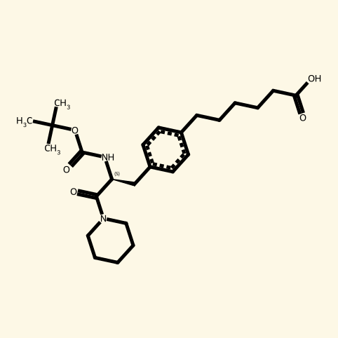 CC(C)(C)OC(=O)N[C@@H](Cc1ccc(CCCCCC(=O)O)cc1)C(=O)N1CCCCC1